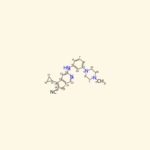 CN1CCN(c2cccc(Nc3cc4c(C5CC5)c(C#N)sc4cn3)c2)CC1